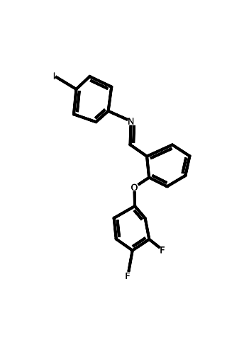 Fc1ccc(Oc2ccccc2/C=N/c2ccc(I)cc2)cc1F